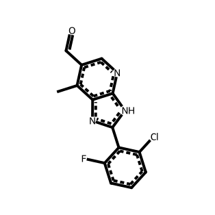 Cc1c(C=O)cnc2[nH]c(-c3c(F)cccc3Cl)nc12